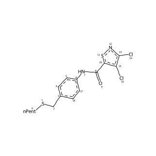 CCCCCSCc1ccc(NC(=O)c2snc(Cl)c2Cl)cc1